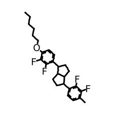 CCCCCCOc1ccc(C2CCC3C(c4ccc(C)c(F)c4F)CCC23)c(F)c1F